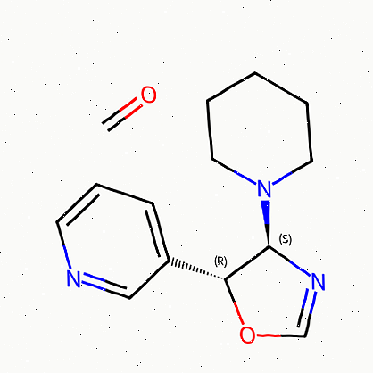 C1=N[C@H](N2CCCCC2)[C@@H](c2cccnc2)O1.C=O